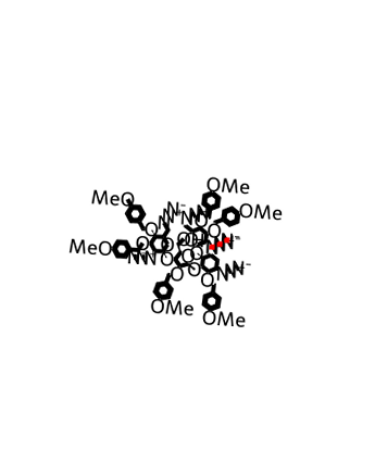 COc1ccc(COC2C(O[C@H]3OC(CN=[N+]=[N-])[C@@H](OCc4ccc(OC)cc4)C(OCc4ccc(OC)cc4)C3N=[N+]=[N-])[C@@H](CO)O[C@H]2OC2C(OCc3ccc(OC)cc3)[C@H](N=[N+]=[N-])CC(N=[N+]=[N-])[C@H]2O[C@H]2OC(CN=[N+]=[N-])[C@@H](OCc3ccc(OC)cc3)C(OCc3ccc(OC)cc3)C2N=[N+]=[N-])cc1